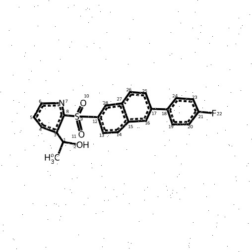 CC(O)c1cccnc1S(=O)(=O)c1ccc2cc(-c3ccc(F)cc3)ccc2c1